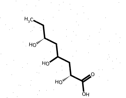 CC[C@@H](O)CC(O)C[C@@H](O)C(=O)O